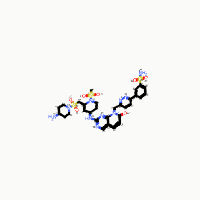 CS(=O)(=O)N1CCC(Nc2ncc3ccc(=O)n(Cc4ccc(-c5cccc(S(N)(=O)=O)c5)nn4)c3n2)CC1CS(=O)(=O)N1CCC(N)CC1